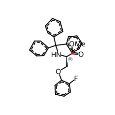 COC(=O)[C@@H](COc1ccccc1F)NC(c1ccccc1)(c1ccccc1)c1ccccc1